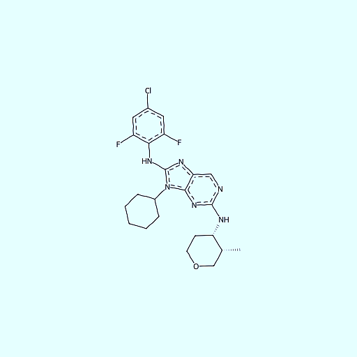 C[C@@H]1COCC[C@@H]1Nc1ncc2nc(Nc3c(F)cc(Cl)cc3F)n(C3CCCCC3)c2n1